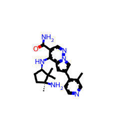 Cc1cnccc1-c1cc2c(N[C@@H]3CC[C@](C)(N)C3(C)C)c(C(N)=O)cnn2c1